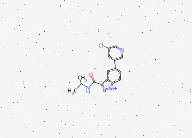 CC(C)NC(=O)c1n[nH]c2ccc(-c3cncc(Cl)c3)cc12